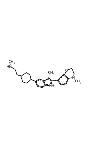 CNCCN1CCC(c2ccc3[nH]c(-c4ccc5c(c4)OCCN5C)c(C)c3c2)CC1